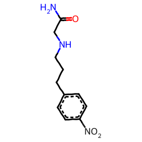 NC(=O)CNCCCc1ccc([N+](=O)[O-])cc1